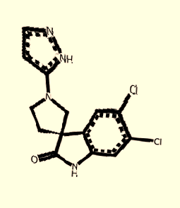 O=C1Nc2cc(Cl)c(Cl)cc2[C@]12CCN(c1ccn[nH]1)C2